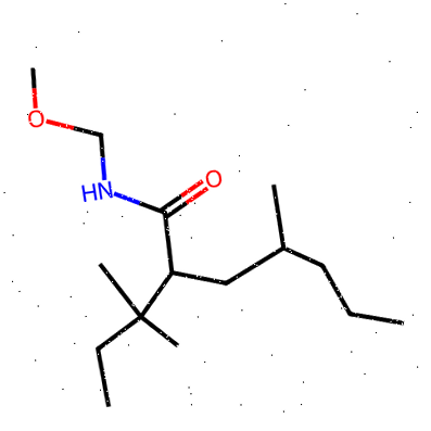 CCCC(C)CC(C(=O)NCOC)C(C)(C)CC